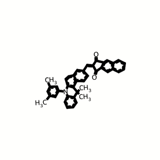 Cc1cc(C)cc(N2c3ccccc3C(C)(C)c3c2ccc2cc(C=C4C(=O)c5cc6ccccc6cc5C4=O)ccc32)c1